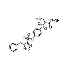 CCCCCCC(C(=O)NO)S(=O)(=O)c1ccc(OS(=O)(=O)c2nsnc2Cc2ccccc2)cc1